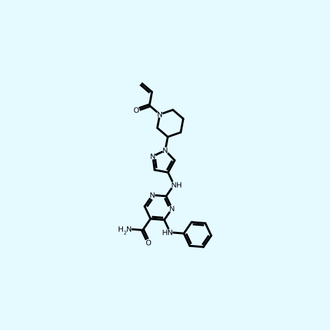 C=CC(=O)N1CCCC(n2cc(Nc3ncc(C(N)=O)c(Nc4ccccc4)n3)cn2)C1